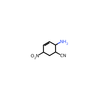 N#CC1CC([N+](=O)[O-])C=CC1N